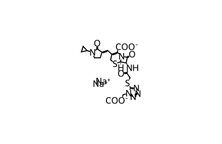 O=C([O-])Cn1nnnc1SCC(=O)N[C@@H]1C(=O)N2C(C(=O)[O-])=C(/C=C3\CCN(C4CC4)C3=O)CS[C@H]12.[Na+].[Na+]